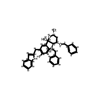 CC[C@@H]1C[C@H](OCc2ccccc2)[C@@H](OCc2ccccc2)C(O)(c2cc(Cc3cc4ccccc4s3)c(F)cc2C)O1